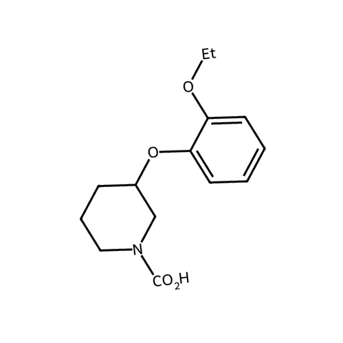 CCOc1ccccc1OC1CCCN(C(=O)O)C1